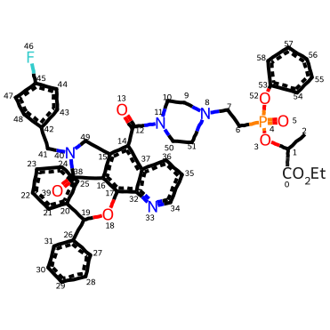 CCOC(=O)C(C)OP(=O)(CCN1CCN(C(=O)c2c3c(c(OC(c4ccccc4)c4ccccc4)c4ncccc24)C(=O)N(Cc2ccc(F)cc2)C3)CC1)Oc1ccccc1